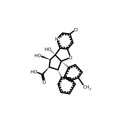 Cc1ccc([C@@]23Oc4cc(Cl)cnc4[C@]2(O)[C@H](O)[C@H](C(=O)O)[C@H]3c2ccccc2)cc1